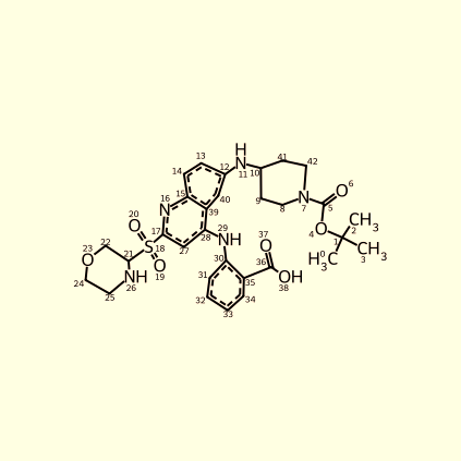 CC(C)(C)OC(=O)N1CCC(Nc2ccc3nc(S(=O)(=O)C4COCCN4)cc(Nc4ccccc4C(=O)O)c3c2)CC1